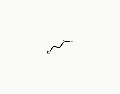 CCC[CH]OCC